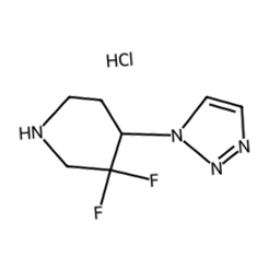 Cl.FC1(F)CNCCC1n1ccnn1